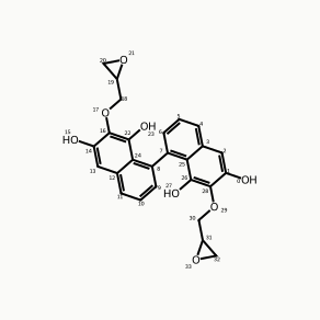 Oc1cc2cccc(-c3cccc4cc(O)c(OCC5CO5)c(O)c34)c2c(O)c1OCC1CO1